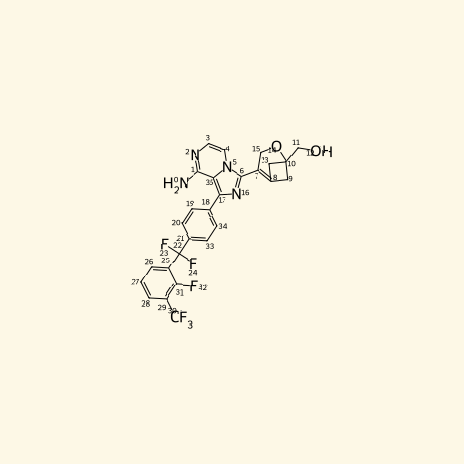 Nc1nccn2c(C3=C4CC(CO)(C4)OC3)nc(-c3ccc(C(F)(F)c4cccc(C(F)(F)F)c4F)cc3)c12